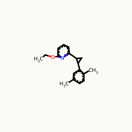 CCOc1cccc(C2CC2c2cc(C)ccc2C)n1